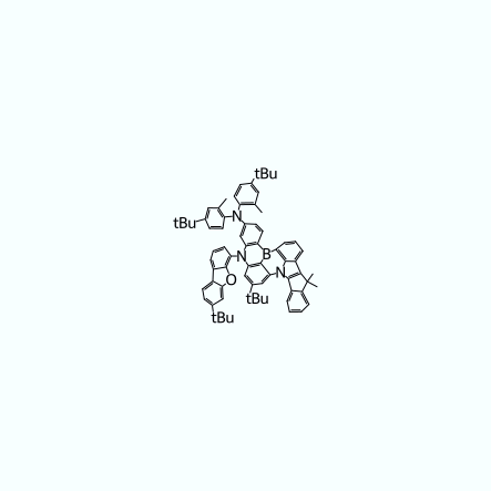 Cc1cc(C(C)(C)C)ccc1N(c1ccc2c(c1)N(c1cccc3c1oc1cc(C(C)(C)C)ccc13)c1cc(C(C)(C)C)cc3c1B2c1cccc2c4c(n-3c12)-c1ccccc1C4(C)C)c1ccc(C(C)(C)C)cc1C